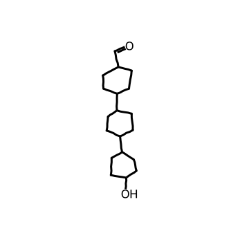 O=CC1CCC(C2CCC(C3CCC(O)CC3)CC2)CC1